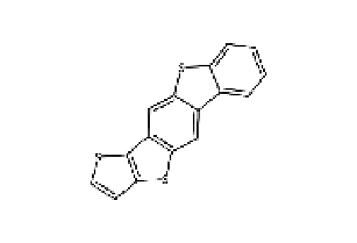 c1ccc2c(c1)sc1cc3c(cc12)sc1ccsc13